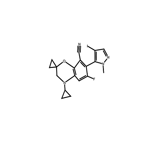 Cn1ncc(I)c1-c1c(F)cc2c(c1C#N)OC1(CC1)CN2C1CC1